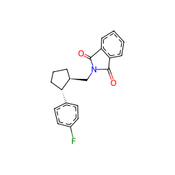 O=C1c2ccccc2C(=O)N1C[C@@H]1CCC[C@H]1c1ccc(F)cc1